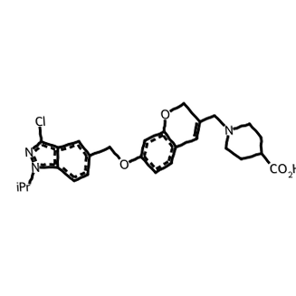 CC(C)n1nc(Cl)c2cc(COc3ccc4c(c3)OCC(CN3CCC(C(=O)O)CC3)=C4)ccc21